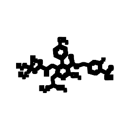 Cc1ccc(-c2c(CNC(=O)OC(C)(C)C)c(CC(C)C)nc(C)c2C(=O)OCc2ccc(C(=O)O)c(F)c2)cc1